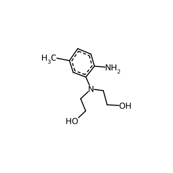 Cc1ccc(N)c(N(CCO)CCO)c1